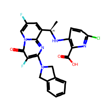 C[C@@H](Nc1ccc(Cl)nc1C(=O)O)c1cc(F)cn2c(=O)c(F)c(N3Cc4ccccc4C3)nc12